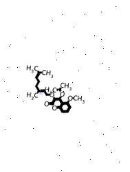 COc1cccc2oc(=O)c(OC/C=C(\C)CCC=C(C)C)c(OC(C)C)c12